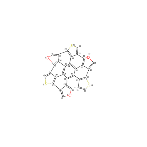 c1oc2c3csc4c5coc6c7csc8c9coc%10c%11csc%12c1c2c1c(c34)c(c56)c(c78)c(c9%10)c1c%11%12